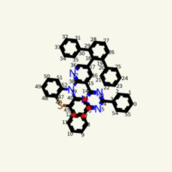 c1ccc(-c2nc(-c3ccccc3)nc(-c3cc(-c4c(-c5ccccc5)cccc4-c4ccccc4)cnc3N3c4ccccc4Sc4ccccc43)n2)cc1